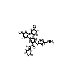 NCc1cn(Cc2nc(-c3ccc(Cl)cc3)c(-c3ccc(Cl)cc3)nc2C(=O)NN2CCCCC2)nn1